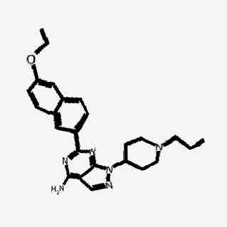 CCCN1CCC(n2ncc3c(N)nc(-c4ccc5cc(OCC)ccc5c4)nc32)CC1